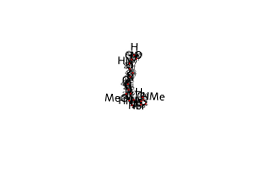 CNC(=O)c1ccccc1Nc1nc(Nc2cc(C)c(N3CCN(C(=O)CN4CCC(c5ccc(NC6CCC(=O)NC6=O)cc5)CC4)C(C)C3)cc2OC)ncc1Br